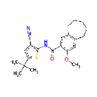 COc1cc2c(cc1C(=O)Nc1sc(C(C)(C)C)cc1C#N)CCCCC2